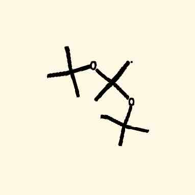 [CH2]C(C)(OC(C)(C)C)OC(C)(C)C